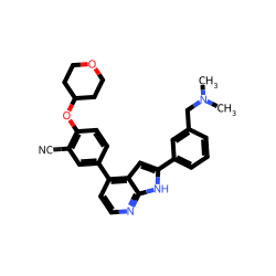 CN(C)Cc1cccc(-c2cc3c(-c4ccc(OC5CCOCC5)c(C#N)c4)ccnc3[nH]2)c1